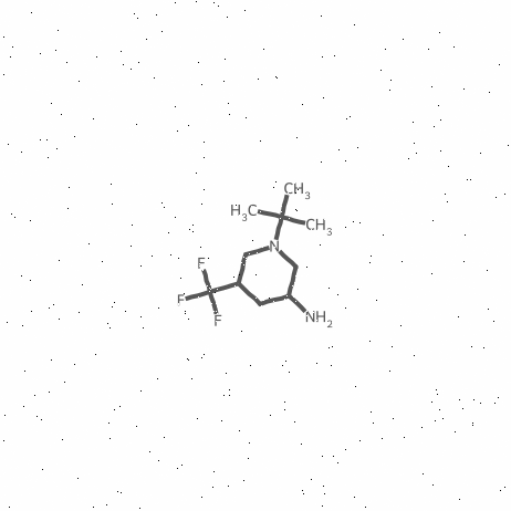 CC(C)(C)N1CC(N)CC(C(F)(F)F)C1